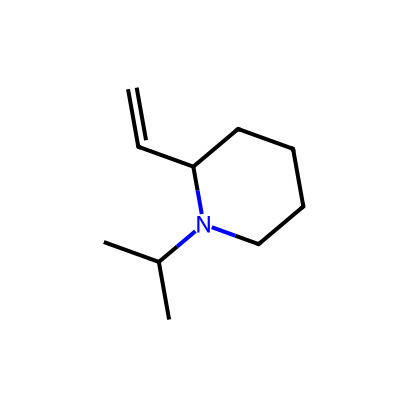 C=CC1CCCCN1C(C)C